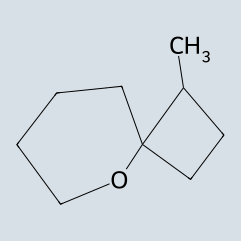 CC1CCC12CCCCO2